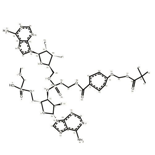 COCP(=O)(O)OC[C@H]1O[C@@H](n2cnc3c(N)ncnc32)[C@H](F)[C@@H]1OP(=O)(OC[C@H]1O[C@@H](n2cnc3c(N)ncnc32)[C@H](F)[C@@H]1C)SCOC(=O)c1ccc(OCOC(=O)C(C)(C)C)cc1